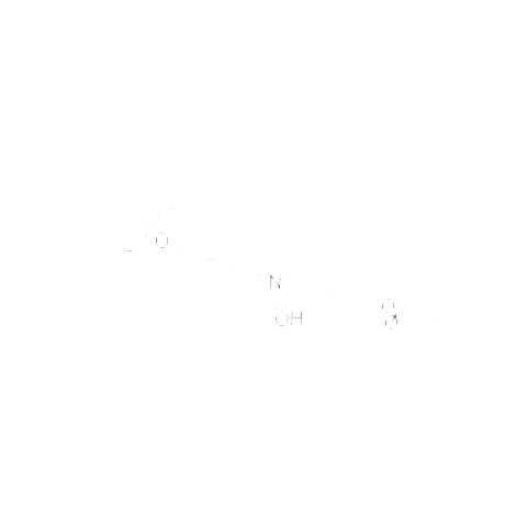 CCCCCCCCC(CCCCCC)COCCCCCCCCCCCCN(CCCO)CCCCCCCCCCCCOC(=O)C(CCCCCC)CCCCCCCC